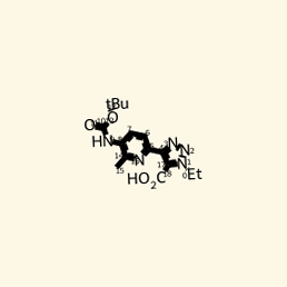 CCn1nnc(-c2ccc(NC(=O)OC(C)(C)C)c(C)n2)c1C(=O)O